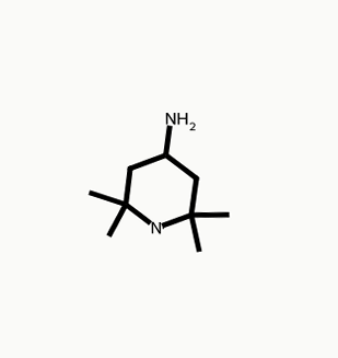 CC1(C)CC(N)CC(C)(C)[N]1